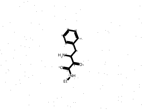 CCNC(=O)C(=O)C(N)Cc1ccccc1